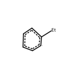 CCc1[c]cccc1